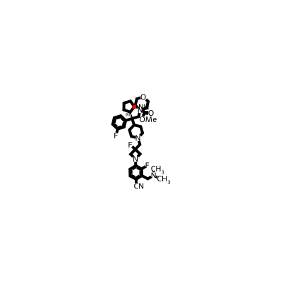 COC(=O)N[C@H]1CCC[C@@H]1C(CN1CCOCC1)(c1cccc(F)c1)C1CCN(CC2(F)CN(c3ccc(C#N)c(CN(C)C)c3F)C2)CC1